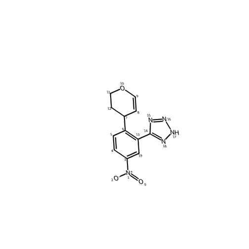 O=[N+]([O-])c1ccc(C2C=COCC2)c(-c2nn[nH]n2)c1